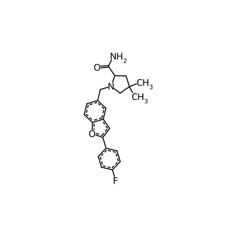 CC1(C)CC(C(N)=O)N(Cc2ccc3oc(-c4ccc(F)cc4)cc3c2)C1